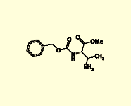 COC(=O)[C@@H](NC(=O)OCc1ccccc1)C(C)N